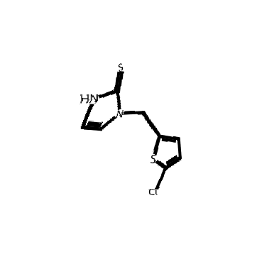 S=c1[nH]ccn1Cc1ccc(Cl)s1